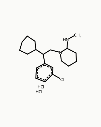 CNC1CCCCN1CC(c1cccc(Cl)c1)C1CCCCC1.Cl.Cl